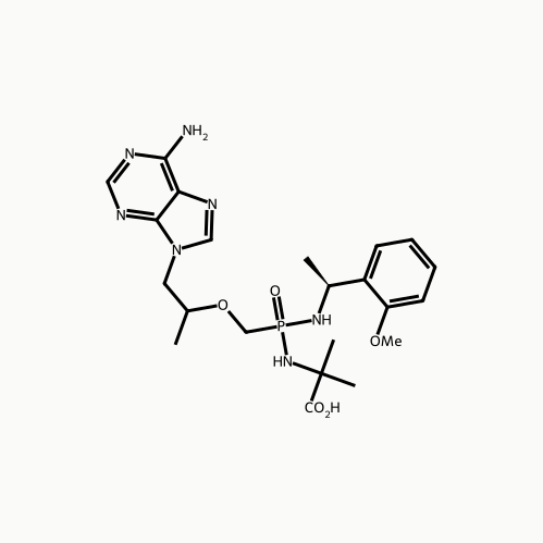 COc1ccccc1[C@H](C)NP(=O)(COC(C)Cn1cnc2c(N)ncnc21)NC(C)(C)C(=O)O